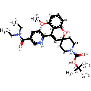 CCN(CC)C(=O)c1ccc(C2=CC3(CCN(C(=O)OC(C)(C)C)CC3)Oc3cccc(OC)c32)nc1